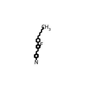 CCCCCCCC1CCC(c2ccc(CCc3ccc(C#N)cc3)cc2F)CC1